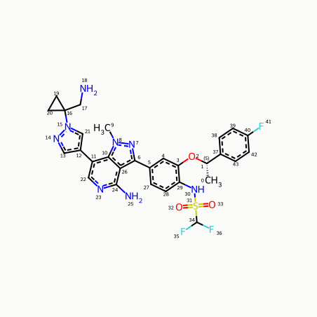 C[C@H](Oc1cc(-c2nn(C)c3c(-c4cnn(C5(CN)CC5)c4)cnc(N)c23)ccc1NS(=O)(=O)C(F)F)c1ccc(F)cc1